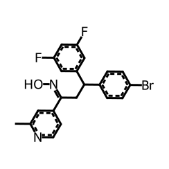 Cc1cc(C(CC(c2ccc(Br)cc2)c2cc(F)cc(F)c2)=NO)ccn1